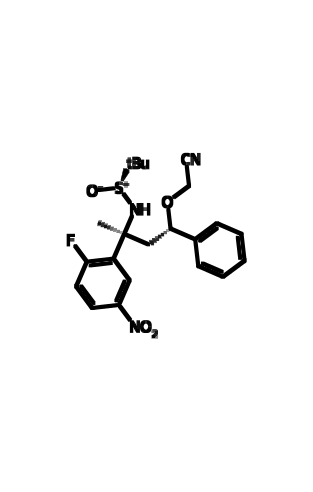 CC(C)(C)[S@+]([O-])N[C@@](C)(C[C@H](OCC#N)c1ccccc1)c1cc([N+](=O)[O-])ccc1F